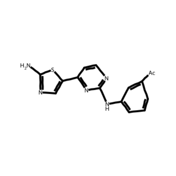 CC(=O)c1cccc(Nc2nccc(-c3cnc(N)s3)n2)c1